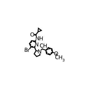 COc1ccc([C@@H](C)N2CCCC2c2nc(NC(=O)C3CC3)ccc2Br)cc1